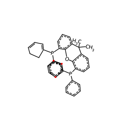 CC1(C)c2cccc(P(C3=CC=CCC3)c3ccccc3)c2Oc2c(P(c3ccccc3)c3ccccc3)cccc21